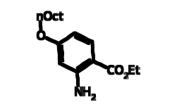 CCCCCCCCOc1ccc(C(=O)OCC)c(N)c1